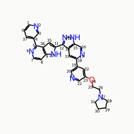 c1cncc(-c2nccc3[nH]c(-c4n[nH]c5cnc(-c6cncc(OCCN7CCCC7)c6)cc45)cc23)c1